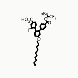 C=CCCCCCCCCOc1ccc(-c2ccc(C(=O)O)cc2F)c(-c2ccc(C(=O)OC(CCCC)C(F)(F)F)cc2)c1